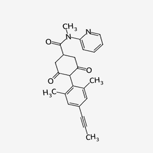 CC#Cc1cc(C)c(C2C(=O)CC(C(=O)N(C)c3ccccn3)CC2=O)c(C)c1